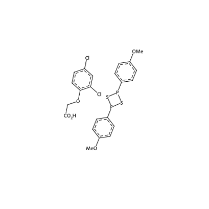 COc1ccc(P2SP(c3ccc(OC)cc3)S2)cc1.O=C(O)COc1ccc(Cl)cc1Cl